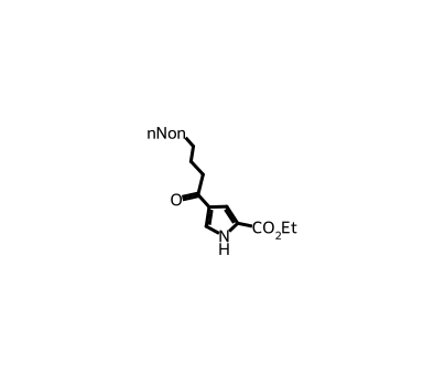 CCCCCCCCCCCCC(=O)c1c[nH]c(C(=O)OCC)c1